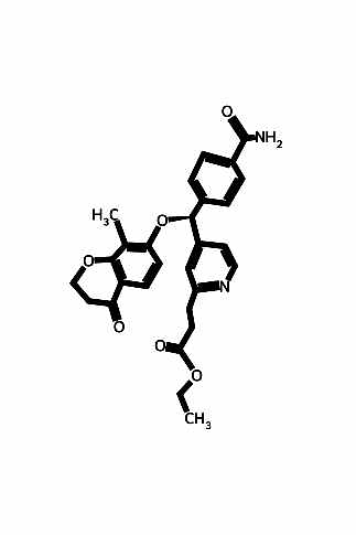 CCOC(=O)CCc1cc([C@@H](Oc2ccc3c(c2C)OCCC3=O)c2ccc(C(N)=O)cc2)ccn1